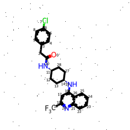 O=C(Cc1ccc(Cl)cc1)N[C@H]1CC[C@@H](Nc2cc(C(F)(F)F)nc3ccccc23)CC1